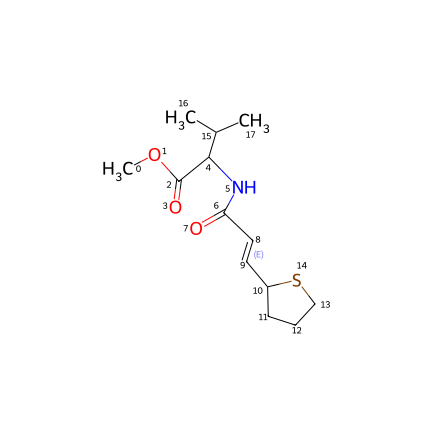 COC(=O)C(NC(=O)/C=C/C1CCCS1)C(C)C